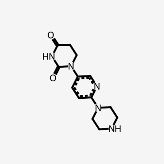 O=C1CCN(c2ccc(N3CCNCC3)nc2)C(=O)N1